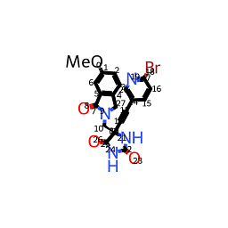 COc1ccc2c(c1)C(=O)N(C[C@@]1(C#Cc3ccc(Br)nc3)NC(=O)NC1=O)C2